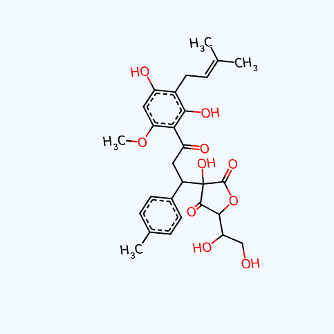 COc1cc(O)c(CC=C(C)C)c(O)c1C(=O)CC(c1ccc(C)cc1)C1(O)C(=O)OC(C(O)CO)C1=O